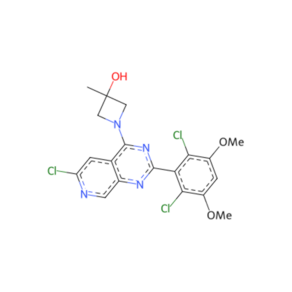 COc1cc(OC)c(Cl)c(-c2nc(N3CC(C)(O)C3)c3cc(Cl)ncc3n2)c1Cl